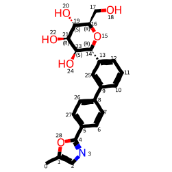 Cc1cnc(-c2ccc(-c3cccc([C@H]4O[C@H](CO)[C@@H](O)[C@H](O)[C@@H]4O)c3)cc2)o1